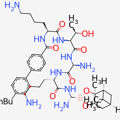 CCCCc1ccc(-c2ccc(C(=O)N[C@@H](CCCCN)C(=O)N[C@H](C(=O)N[C@@H](N)C(=O)N[C@@H](CCCCN)C(=O)N[C@@H](N)B3OC4C[C@@H]5C[C@@H](C5(C)C)[C@]4(C)O3)[C@@H](C)O)cc2)cc1